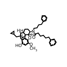 COc1cc(O)c2c3c1O[C@H]1[C@H](N(CCCCc4ccccc4)C(=O)CCCCCc4ccccc4)CC[C@H]4[C@@H](C2)N(CC2CC2)CC[C@@]341